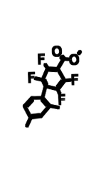 COC(=O)c1c(F)c(F)c(-c2ccc(C)cc2C)c(F)c1F